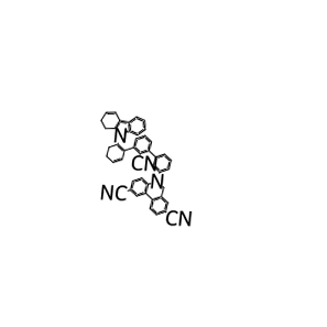 N#Cc1ccc2c(c1)CN(c1cccc(-c3cccc(C4=C(n5c6c(c7ccccc75)C=CCC6)CCC=C4)c3C#N)c1)c1ccc(C#N)cc1-2